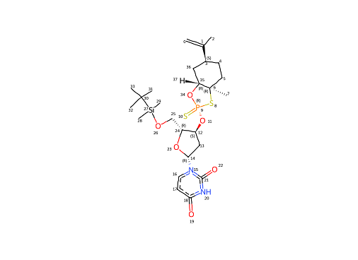 C=C(C)[C@H]1CC[C@@]2(C)S[P@](=S)(O[C@H]3C[C@H](n4ccc(=O)[nH]c4=O)O[C@@H]3CO[Si](C)(C)C(C)(C)C)O[C@@H]2C1